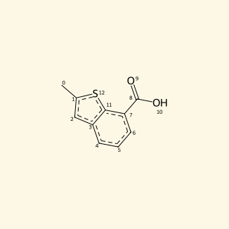 Cc1cc2cccc(C(=O)O)c2s1